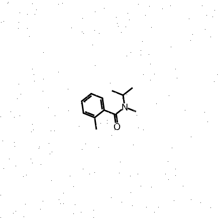 Cc1ccccc1C(=O)N(C)C(C)C